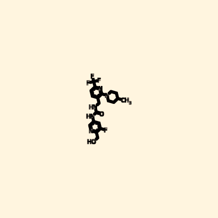 CC1CCN(c2nc(C(F)(F)F)ccc2CNC(=O)Nc2cnc(CO)c(F)c2)CC1